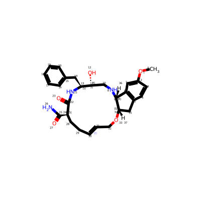 COc1ccc2c(c1)[C@H]1NC[C@@H](O)[C@H](Cc3ccccc3)NC(=O)[C@H](C(N)=O)CC/C=C/CO[C@H]1C2